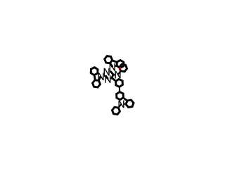 c1ccc(-n2c3ccccc3c3cc(-c4ccc5c(c4)c4nc(-n6c7ccccc7c7ccccc76)nc(-n6c7ccccc7c7ccccc76)c4n5-c4ccccc4)ccc32)cc1